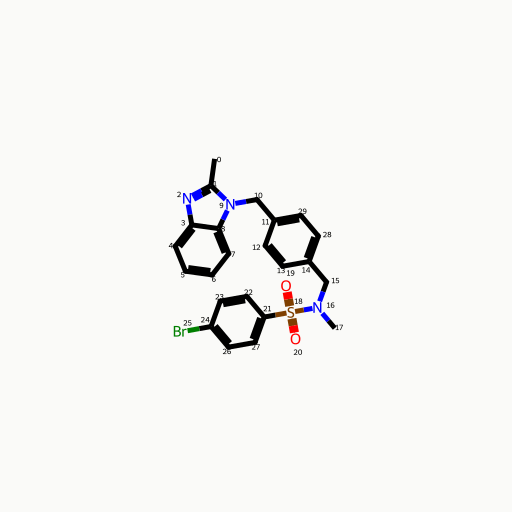 Cc1nc2ccccc2n1Cc1ccc(CN(C)S(=O)(=O)c2ccc(Br)cc2)cc1